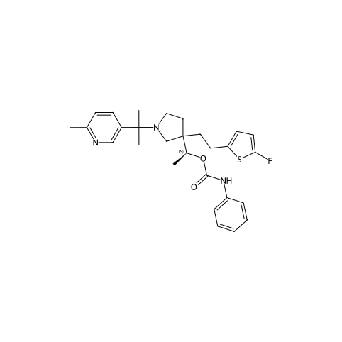 Cc1ccc(C(C)(C)N2CCC(CCc3ccc(F)s3)([C@H](C)OC(=O)Nc3ccccc3)C2)cn1